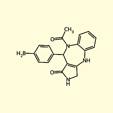 Bc1ccc(C2C3=C(CNC3=O)Nc3ccccc3N2C(C)=O)cc1